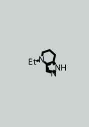 CCN1CCCc2[nH]ncc21